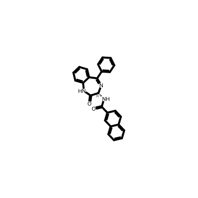 O=C(N[C@H]1N=C(c2ccccc2)c2ccccc2NC1=O)c1ccc2ccccc2c1